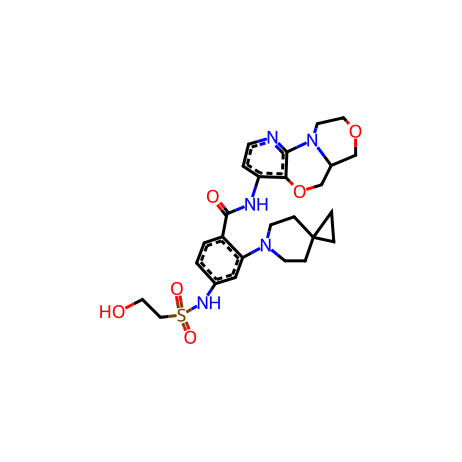 O=C(Nc1ccnc2c1OCC1COCCN21)c1ccc(NS(=O)(=O)CCO)cc1N1CCC2(CC1)CC2